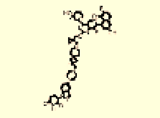 CCc1c(F)ccc2cc(O)cc(-c3ncc4c(N5CCC[C@@](C)(O)C5)nc(OCC5(CN6CCC7(CC6)CC(F)(CN6CCN(c8ccc9c(cnn9C9CCC(=O)NC9=O)c8)CC6)C7)CC5)nc4c3F)c12